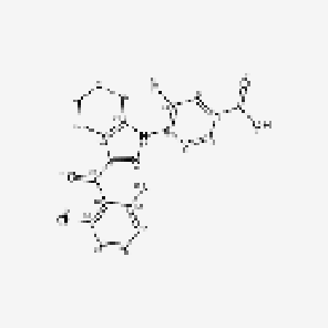 O=C(O)c1ccc(-n2nc(C(=O)c3c(Cl)cccc3Cl)c3c2CCCC3)c(F)c1